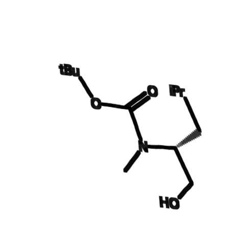 CC(C)C[C@H](CO)N(C)C(=O)OC(C)(C)C